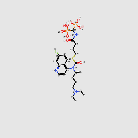 CCN(CC)CCCC(C)N(C(=O)SCCCC(=O)NC(P(=O)(O)O)P(=O)(O)O)c1ccnc2cc(F)ccc12